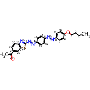 CCCCOc1ccc(N=Nc2ccc(N=Nc3nc4ccc(C(C)=O)cc4s3)cc2)cc1